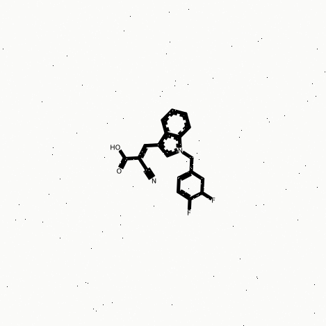 N#C/C(=C\c1cn(CC2=CC=C(F)C(F)C2)c2ccccc12)C(=O)O